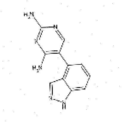 Nc1ncc(-c2cccc3[nH]ncc23)c(N)n1